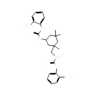 CCCCc1ccccc1OC(=O)NCC1(C)CC(NC(=O)Oc2ccccc2CCCC)CC(C)(C)C1